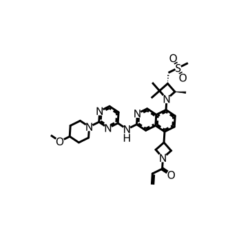 C=CC(=O)N1CC(c2ccc(N3[C@H](C)[C@@H](CS(C)(=O)=O)C3(C)C)c3cnc(Nc4ccnc(N5CCC(OC)CC5)n4)cc23)C1